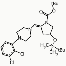 CC(C)(C)OC(=O)N1CC(O[Si](C)(C)C(C)(C)C)C/C1=C\N1CCN(c2cccc(Cl)c2Cl)CC1